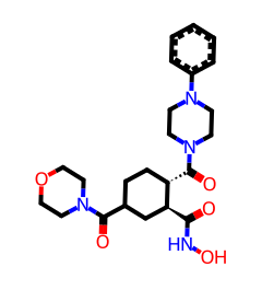 O=C(NO)[C@H]1CC(C(=O)N2CCOCC2)CC[C@@H]1C(=O)N1CCN(c2ccccc2)CC1